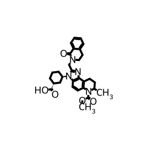 COC(=O)N1c2ccc3c(nc(CN4CCc5ccccc5C4=O)n3[C@@H]3CCC[C@@H](C(=O)O)C3)c2CCC1C